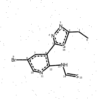 CCc1nnc(-c2cc(Br)cnc2NC=S)s1